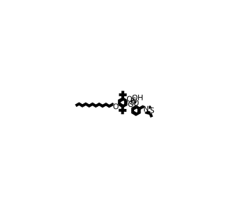 CCCCCCCCCCCCOc1cc(C(C)(C)C)c(OP(=O)(O)Oc2ccccc2C[n+]2csc(C)c2)cc1C(C)(C)C